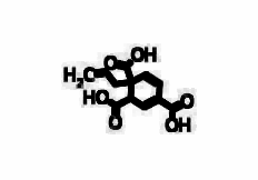 C=CCC1(C(=O)O)C=CC(C(=O)O)=CC1C(=O)O